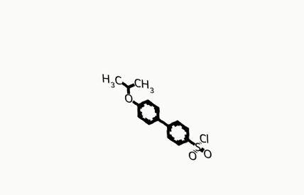 CC(C)Oc1ccc(-c2ccc(S(=O)(=O)Cl)cc2)cc1